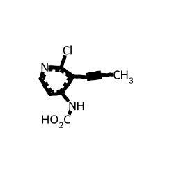 CC#Cc1c(NC(=O)O)ccnc1Cl